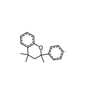 CC1(C)CC(C)(c2cc[c]cc2)Oc2ccccc21